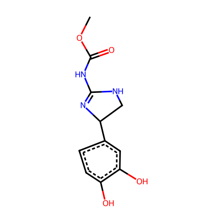 COC(=O)NC1=NC(c2ccc(O)c(O)c2)CN1